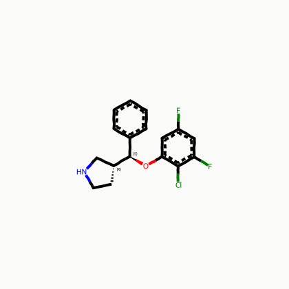 Fc1cc(F)c(Cl)c(O[C@H](c2ccccc2)[C@@H]2CCNC2)c1